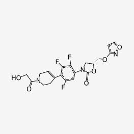 O=C(CO)N1CC=C(c2c(F)cc(N3C[C@H](COc4ccon4)OC3=O)c(F)c2F)CC1